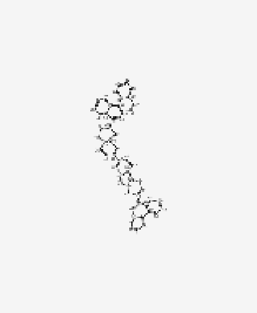 c1ccc2c(c1)cc(-c1ccc3c(c1)oc1cc(-c4ccc5ccc(-c6cc7ccc8ccccc8c7c7ccccc67)cc5c4)ccc13)c1ccccc12